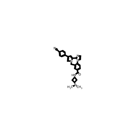 CN(C)[C@H]1C[C@H](NC(=O)c2ccc3c(c2)Cn2cc(-c4ccc(C#N)cc4)cc2-c2nccn2-3)C1